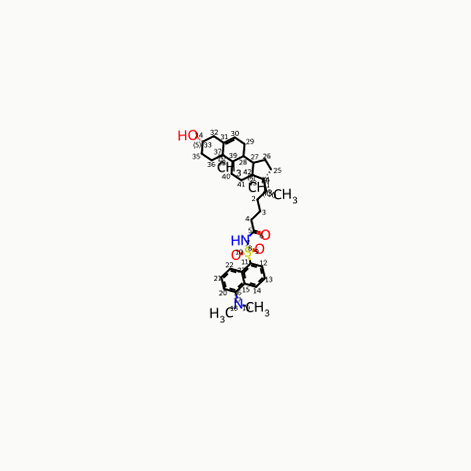 C[C@H](CCCC(=O)NS(=O)(=O)c1cccc2c(N(C)C)cccc12)[C@H]1CCC2C3CC=C4C[C@@H](O)CC[C@]4(C)C3CC[C@@]21C